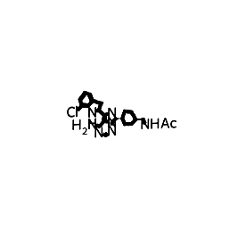 CC(=O)NC[C@H]1CC[C@H](c2nc(C3Cc4cccc(Cl)c4N3)c3c(N)ncnn32)CC1